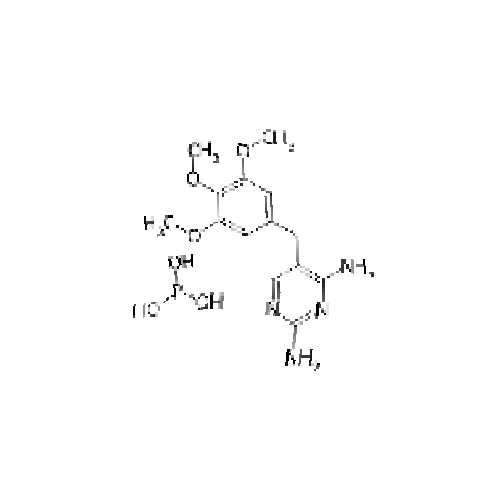 COc1cc(Cc2cnc(N)nc2N)cc(OC)c1OC.OP(O)O